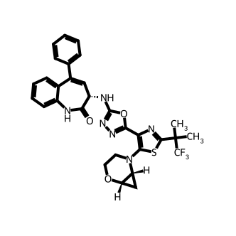 CC(C)(c1nc(-c2nnc(N[C@H]3C=C(c4ccccc4)c4ccccc4NC3=O)o2)c(N2CCO[C@H]3C[C@H]32)s1)C(F)(F)F